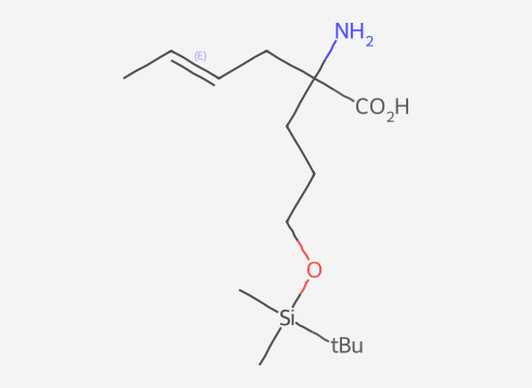 C/C=C/CC(N)(CCCO[Si](C)(C)C(C)(C)C)C(=O)O